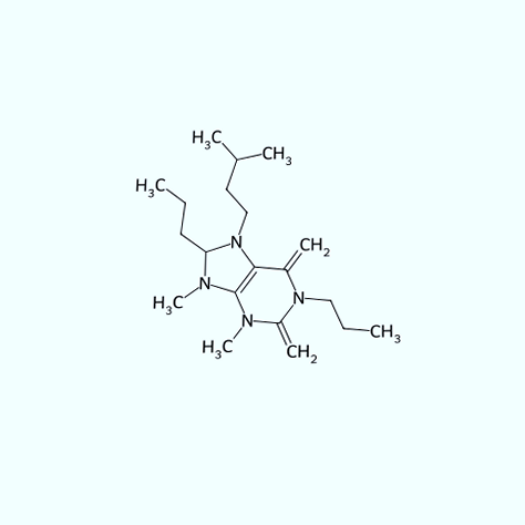 C=C1C2=C(N(C)C(=C)N1CCC)N(C)C(CCC)N2CCC(C)C